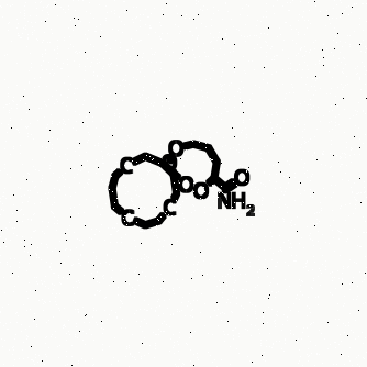 NC(=O)C1CCCOOC2(CCCCCCCCCCC2)OO1